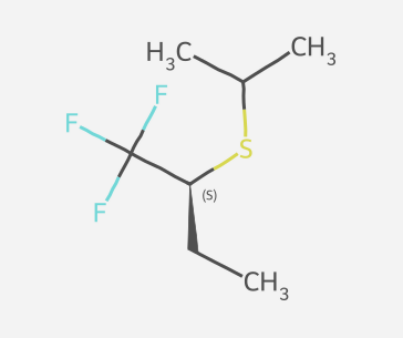 CC[C@H](SC(C)C)C(F)(F)F